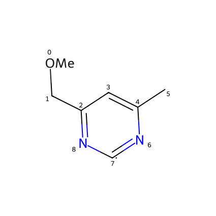 COCc1cc(C)n[c]n1